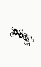 CS(=O)(=O)N(CC(=O)O)c1ccc(-c2ccc(F)c(Cl)c2)c(Cl)c1